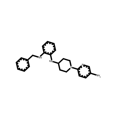 Nc1ccc(N2CCC(Nc3ccccc3NCc3ccccc3)CC2)nc1